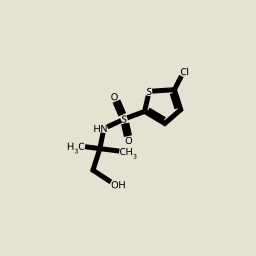 CC(C)(CO)NS(=O)(=O)c1ccc(Cl)s1